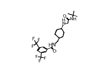 CC(C)(C)NC(=O)CN[C@H]1CC[C@@H](CNC(=O)c2cc(C(F)(F)F)cc(C(F)(F)F)c2)CC1